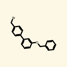 BrCc1ccc(-c2cccc(OCc3ccccc3)c2)cc1